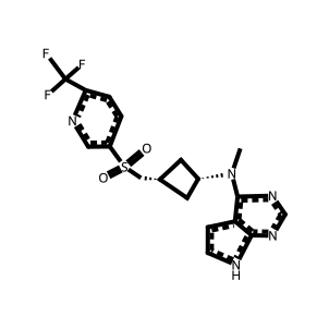 CN(c1ncnc2[nH]ccc12)[C@H]1C[C@@H](CS(=O)(=O)c2ccc(C(F)(F)F)nc2)C1